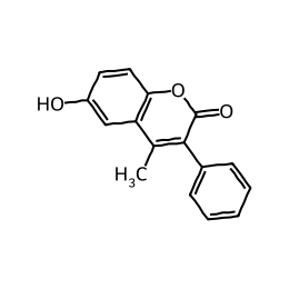 Cc1c(-c2ccccc2)c(=O)oc2ccc(O)cc12